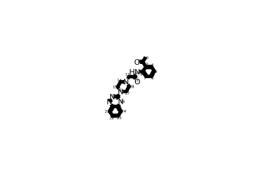 CC(=O)c1ccccc1NC(=O)CN1CCN(c2nnc3ccccc3n2)CC1